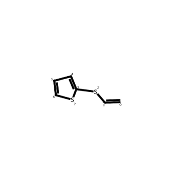 C=[C]Sc1cccs1